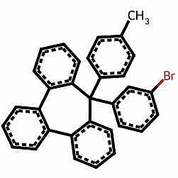 Cc1ccc(C2(c3cccc(Br)c3)c3ccccc3-c3ccccc3-c3ccccc32)cc1